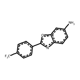 Nc1ccc2nc(-c3ccc(C(F)(F)F)cc3)oc2c1